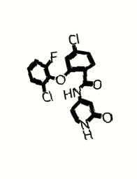 O=C(Nc1cc[nH]c(=O)c1)c1ccc(Cl)cc1Oc1c(F)cccc1Cl